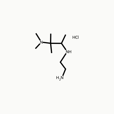 CC(NCCN)C(C)(C)N(C)C.Cl